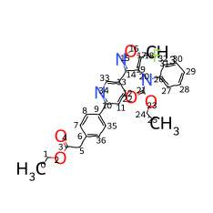 CCOC(=O)Cc1ccc(-c2ccc(-c3noc(C)c3N(C(=O)OCC)c3ccccc3F)cn2)cc1